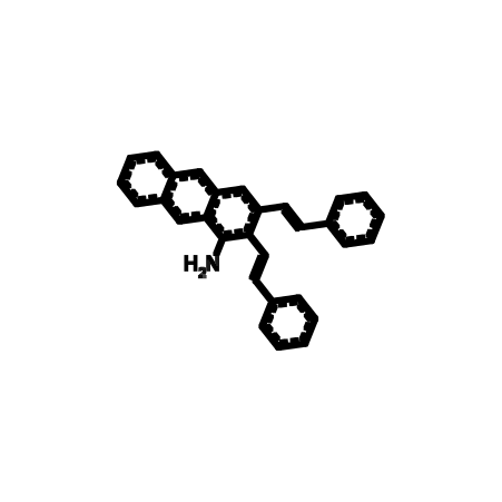 Nc1c(C=Cc2ccccc2)c(C=Cc2ccccc2)cc2cc3ccccc3cc12